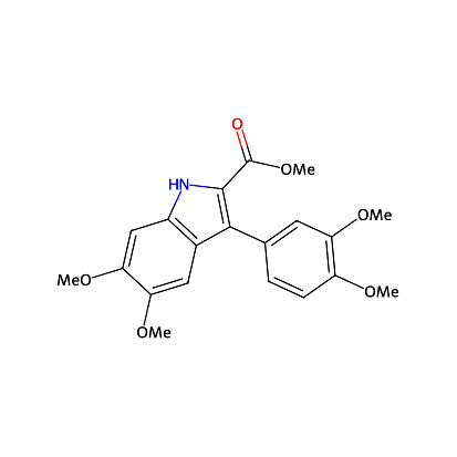 COC(=O)c1[nH]c2cc(OC)c(OC)cc2c1-c1ccc(OC)c(OC)c1